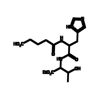 CCOC(=O)C(NC(=O)C(Cc1cnc[nH]1)NC(=O)CCCC(=O)O)C(C)O